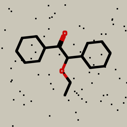 CCOC(C(=O)C1CCCCC1)C1CCCCC1